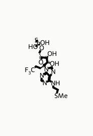 CSCCNc1ncnc2c1ncn2[C@]1(CCC(F)(F)F)O[C@H](COP(O)(O)=S)[C@@H](O)[C@H]1O